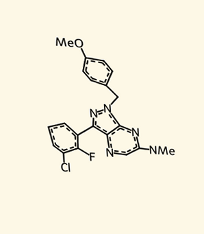 CNc1cnc2c(-c3cccc(Cl)c3F)nn(Cc3ccc(OC)cc3)c2n1